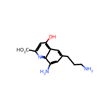 NCCCc1cc(N)c2nc(C(=O)O)cc(O)c2c1